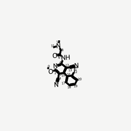 COc1nc(NC(=O)CN(C)C)c(C#N)c(-c2ccccc2F)c1C#N